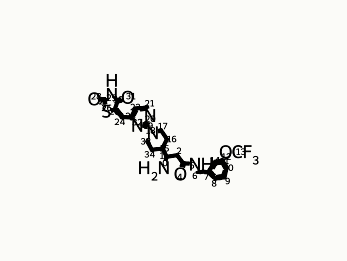 NC(CC(=O)NCc1cccc(OC(F)(F)F)c1)C1CCN(c2nccc(C=C3SC(=O)NC3=O)n2)CC1